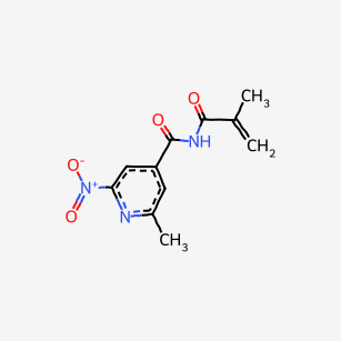 C=C(C)C(=O)NC(=O)c1cc(C)nc([N+](=O)[O-])c1